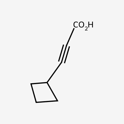 O=C(O)C#CC1CCC1